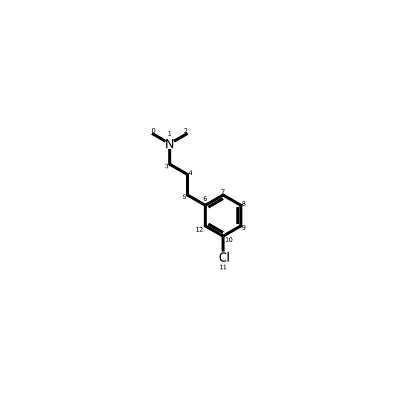 CN(C)CCCc1cccc(Cl)c1